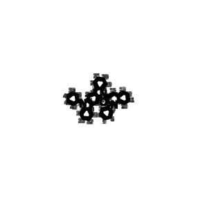 O=S1(c2ccccc2)=Nc2ccccc2C=C1n1c2ccccc2c2cc3c(cc21)c1ccccc1n3-c1ccccc1